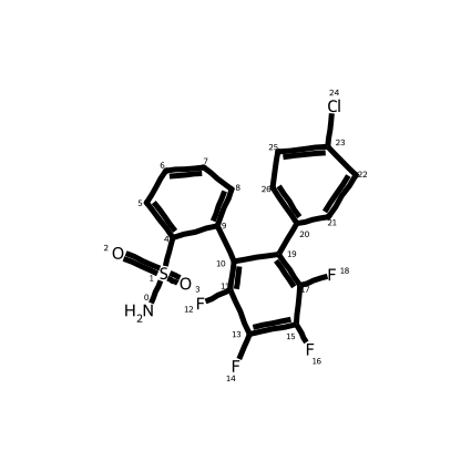 NS(=O)(=O)c1ccccc1-c1c(F)c(F)c(F)c(F)c1-c1ccc(Cl)cc1